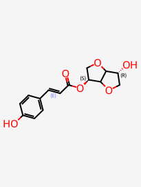 O=C(/C=C/c1ccc(O)cc1)O[C@H]1COC2C1OC[C@H]2O